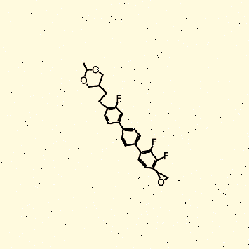 CC1OCC(CCc2ccc(-c3ccc(-c4ccc(C5CO5)c(F)c4F)cc3)cc2F)CO1